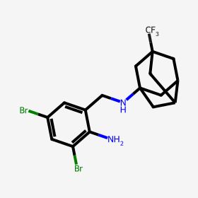 Nc1c(Br)cc(Br)cc1CNC12CC3CC(C(F)(F)F)(CC3C1)C2